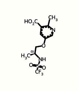 Cc1ncc(OC[C@H](C)NS(=O)(=O)C(F)(F)F)cc1C(=O)O